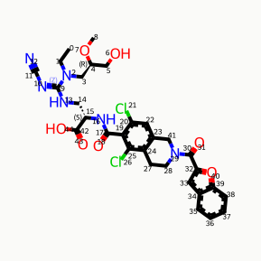 CCN(C[C@H](CO)OC)/C(=N\C#N)NC[C@H](NC(=O)c1c(Cl)cc2c(c1Cl)CCN(C(=O)c1cc3ccccc3o1)C2)C(=O)O